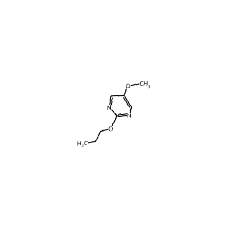 CCCOc1ncc(OC)cn1